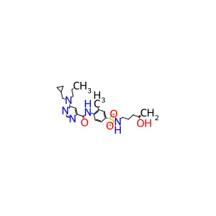 C=C(O)CCCNS(=O)(=O)c1ccc(NC(=O)c2cc(N(CCC)CC3CC3)ncn2)c(C)c1